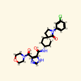 O=C(N[C@H]1CC[C@@]2(CCN(c3cccc(Cl)c3)C2=O)CC1)c1[nH]cnc1C(=O)N1CCOCC1